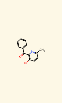 Cc1ccc(O)c(C(=O)c2ccccc2)n1